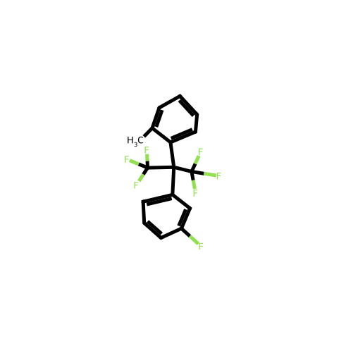 Cc1ccccc1C(c1cccc(F)c1)(C(F)(F)F)C(F)(F)F